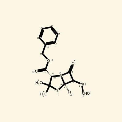 CC1(C)S[C@@H]2C(NC=O)C(=O)N2[C@H]1C(=O)OCc1ccccc1